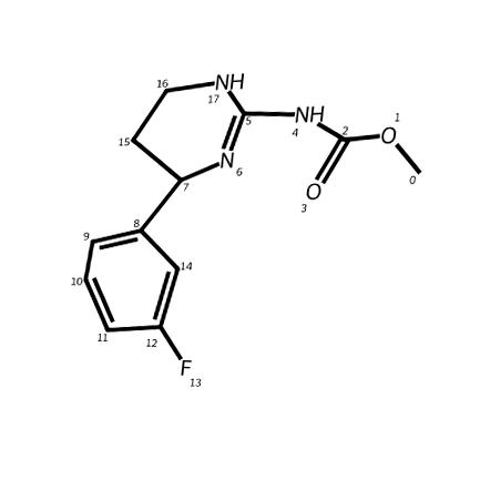 COC(=O)NC1=NC(c2cccc(F)c2)CCN1